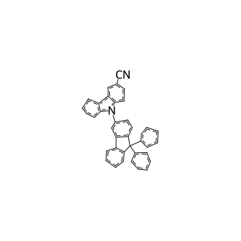 N#Cc1ccc2c(c1)c1ccccc1n2-c1ccc2c(c1)-c1ccccc1C2(c1ccccc1)c1ccccc1